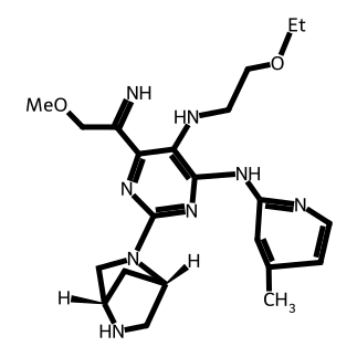 CCOCCNc1c(Nc2cc(C)ccn2)nc(N2C[C@@H]3C[C@H]2CN3)nc1C(=N)COC